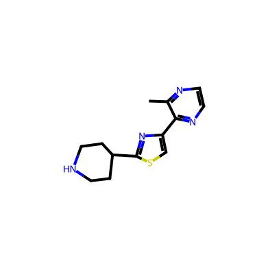 Cc1nccnc1-c1csc(C2CCNCC2)n1